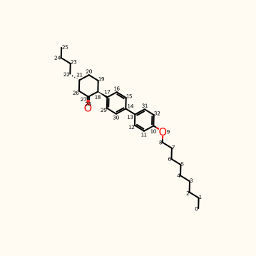 CCCCCCCCCOc1ccc(-c2ccc([C@@H]3CC[C@@H](CCCC)CC3=O)cc2)cc1